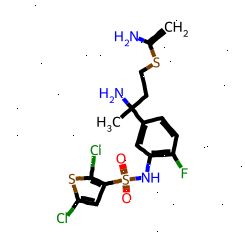 C=C(N)SCCC(C)(N)c1ccc(F)c(NS(=O)(=O)c2cc(Cl)sc2Cl)c1